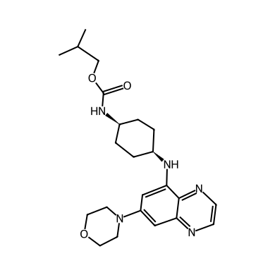 CC(C)COC(=O)N[C@H]1CC[C@@H](Nc2cc(N3CCOCC3)cc3nccnc23)CC1